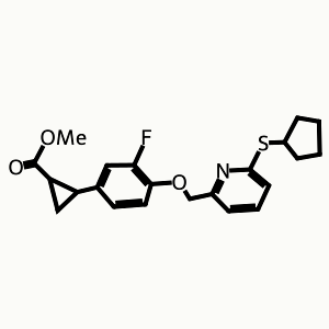 COC(=O)C1CC1c1ccc(OCc2cccc(SC3CCCC3)n2)c(F)c1